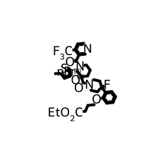 CCC[C@H]1N(C(=O)c2cnccc2C(F)(F)F)CCC[C@@]1(Oc1csc(C)c1)C(=O)N1CCC(F)(c2ccccc2OCCCC(=O)OCC)CC1